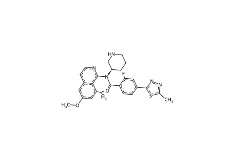 COc1cc(C)c2c(N(C(=O)c3ccc(-c4nnc(C)s4)cc3F)[C@@H]3CCCNC3)nccc2c1